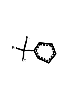 CCC(CC)(CC)c1ccccc1